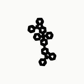 c1ccc(-n2c3ccccc3c3cc(-c4ccc([Si](c5ccccc5)(c5ccccc5)c5ccc6c7ccccc7n(-c7ccccc7)c6c5)cc4)ccc32)cc1